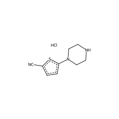 Cl.N#Cc1ccc(N2CCNCC2)s1